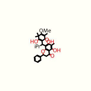 COC1=C(C)C(=O)C(C(c2c(O)c(C)c(O)c3c2OC(c2ccccc2)CC3=O)C(C)C)=C(O)C1(C)C